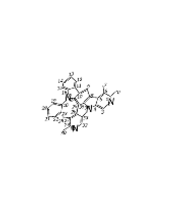 Cc1ncc2c(c1C)c1cc3c4ccccc4n(-c4ccccc4)c3c3c4c(C)c(C)ncc4n2c13